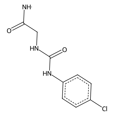 [NH]C(=O)CNC(=O)Nc1ccc(Cl)cc1